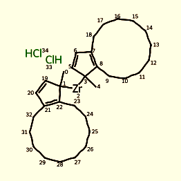 C[C]1([Zr][C]2(C)C=CC3=C2CCCCCCCCCC3)C=CC2=C1CCCCCCCCCC2.Cl.Cl